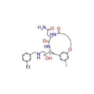 CCc1cccc(CNC[C@@H](O)[C@@H]2Cc3cc(F)cc(c3)OCCCCC(=O)NC(CC(N)=O)C(=O)N2)c1